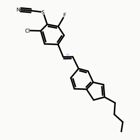 CCCCC1=Cc2cc(/C=C/c3cc(F)c(SC#N)c(Cl)c3)ccc2C1